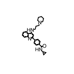 O=C(NC1CC1)c1ccc(-c2cc(NCCCN3CCCCC3)c3ccccc3n2)cc1